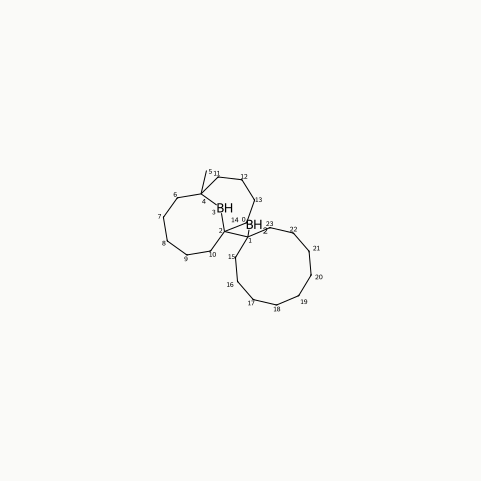 BC1(C23BC(C)(CCCCC2)CCCC3)CCCCCCCCC1